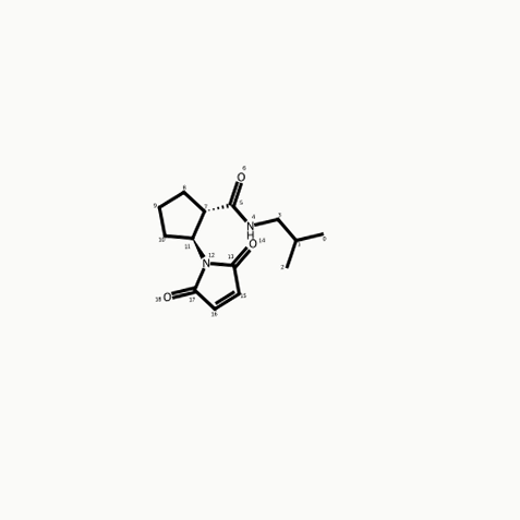 CC(C)CNC(=O)[C@H]1CCC[C@@H]1N1C(=O)C=CC1=O